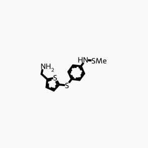 CSNc1ccc(Sc2ccc(CN)s2)cc1